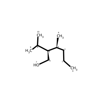 CCC[C@H](C)[C@@H](CO)C(C)C